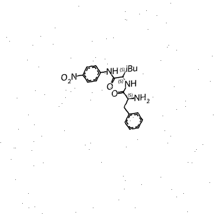 CC[C@H](C)[C@H](NC(=O)[C@@H](N)Cc1ccccc1)C(=O)Nc1ccc([N+](=O)[O-])cc1